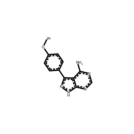 CC(C)Oc1ccc(-c2n[nH]c3ncnc(N)c23)cc1